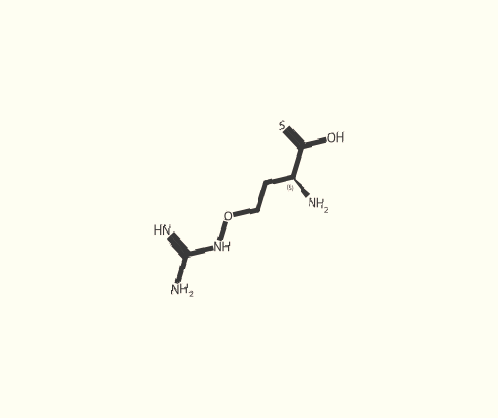 N=C(N)NOCC[C@H](N)C(O)=S